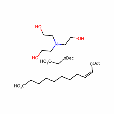 CCCCCCCC/C=C\CCCCCCCC(=O)O.CCCCCCCCCCCC(=O)O.OCCN(CCO)CCO